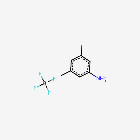 Cc1cc(C)cc([NH3+])c1.F[B-](F)(F)F